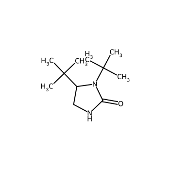 CC(C)(C)C1CNC(=O)N1C(C)(C)C